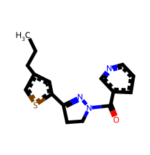 CCCc1csc(C2=NN(C(=O)c3cccnc3)CC2)c1